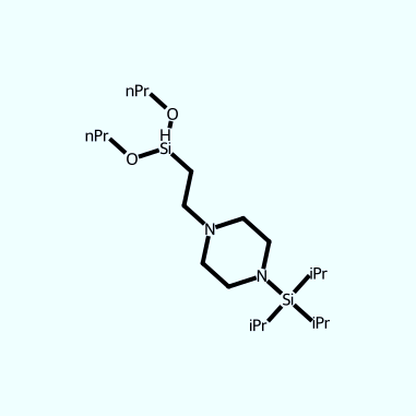 CCCO[SiH](CCN1CCN([Si](C(C)C)(C(C)C)C(C)C)CC1)OCCC